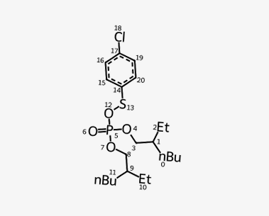 CCCCC(CC)COP(=O)(OCC(CC)CCCC)OSc1ccc(Cl)cc1